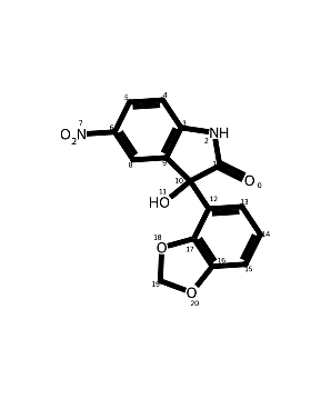 O=C1Nc2ccc([N+](=O)[O-])cc2C1(O)c1cccc2c1OCO2